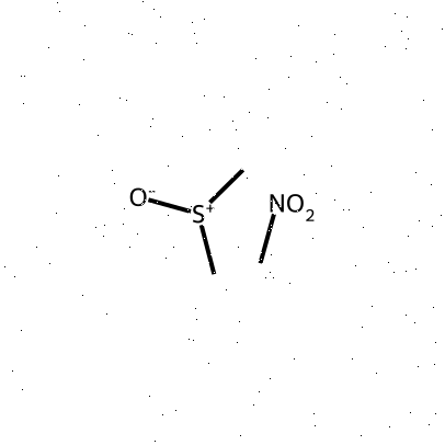 C[N+](=O)[O-].C[S+](C)[O-]